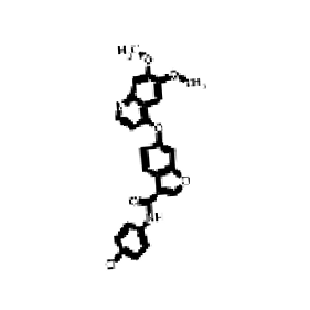 COc1cc2nccc(Oc3ccc4c(C(=O)Nc5ccc(Cl)cc5)coc4c3)c2cc1OC